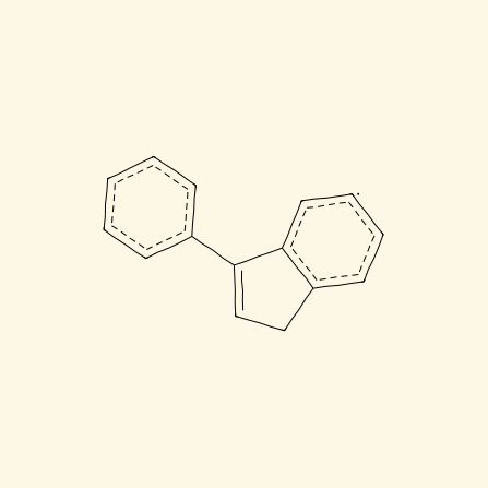 [c]1ccc2c(c1)C(c1ccccc1)=CC2